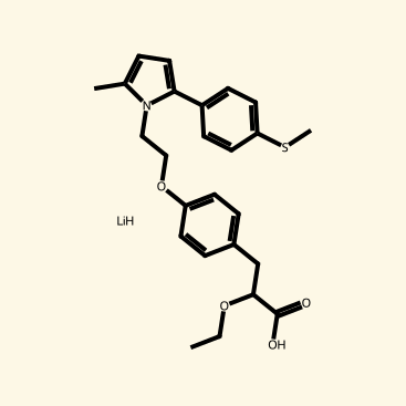 CCOC(Cc1ccc(OCCn2c(C)ccc2-c2ccc(SC)cc2)cc1)C(=O)O.[LiH]